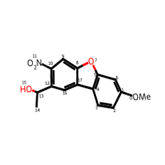 COc1ccc2c(c1)oc1cc([N+](=O)[O-])c(C(C)O)cc12